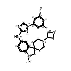 CC(C)N1CC2(CCN(C3COC3)CC2)c2cc(Nc3ncn(-c4cc(F)cc(F)c4)n3)ccc21